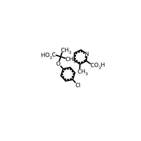 CC(C)(Oc1ccc(Cl)cc1)C(=O)O.Cc1cccnc1C(=O)O